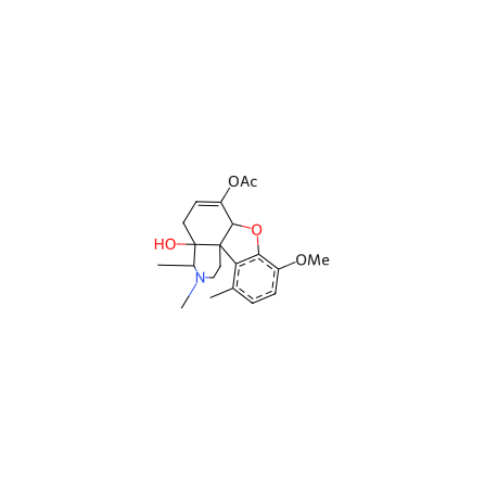 COc1ccc(C)c2c1OC1C(OC(C)=O)=CCC3(O)C(C)N(C)CCC213